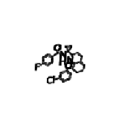 O=C(NC1(C2=NC3(Oc4cccc(Cl)c4)CCCC=C3C=C2)CC1)c1ccc(F)cc1